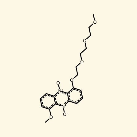 COCCOCCOCCOc1cccc2c1[n+]([O-])c1cccc(OC)c1[n+]2[O-]